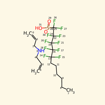 C=CCNCC=C.CCCCCCC(F)(F)C(F)(F)C(F)(F)C(F)(F)C(F)(F)S(=O)(=O)O